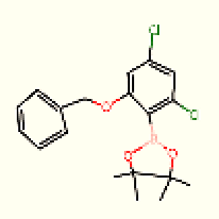 CC1(C)OB(c2c(Cl)cc(Cl)cc2OCc2ccccc2)OC1(C)C